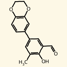 Cc1cc(-c2ccc3c(c2)OCCO3)cc(C=O)c1O